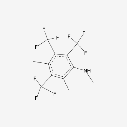 CNc1c(C)c(C(F)(F)F)c(C)c(C(F)(F)F)c1C(F)(F)F